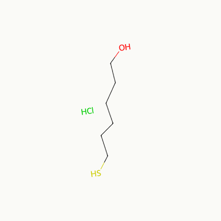 Cl.OCCCCCCS